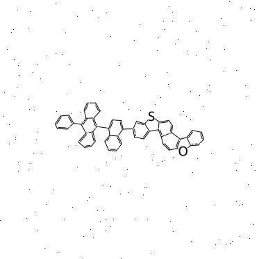 c1ccc(-c2c3ccccc3c(-c3ccc(-c4ccc5c(c4)sc4ccc6c(ccc7oc8ccccc8c76)c45)c4ccccc34)c3ccccc23)cc1